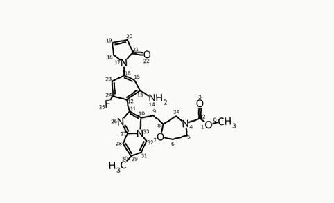 COC(=O)N1CCOC(Cc2c(-c3c(N)cc(N4CC=CC4=O)cc3F)nc3cc(C)ccn23)C1